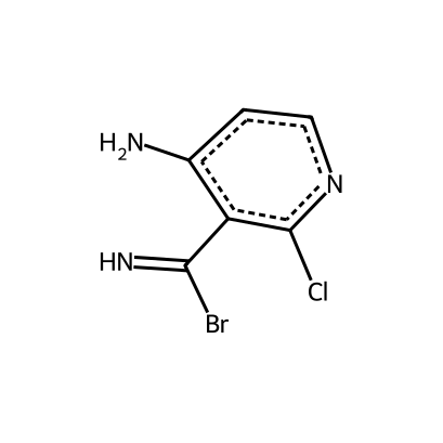 N=C(Br)c1c(N)ccnc1Cl